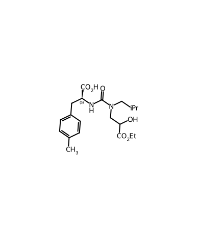 CCOC(=O)C(O)CN(CC(C)C)C(=O)N[C@@H](Cc1ccc(C)cc1)C(=O)O